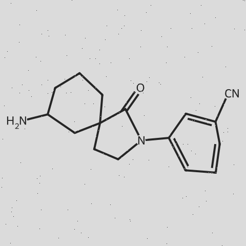 N#Cc1cccc(N2CCC3(CCCC(N)C3)C2=O)c1